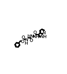 O=C(CNC(=O)OCc1ccccc1)NNC(=O)c1c[nH]c2ncccc12